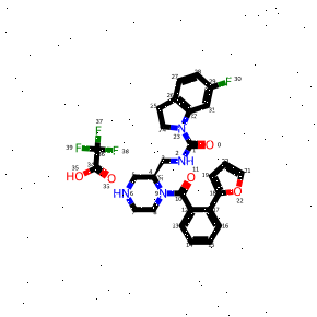 O=C(NC[C@@H]1CNCCN1C(=O)c1ccccc1-c1ccco1)N1CCc2ccc(F)cc21.O=C(O)C(F)(F)F